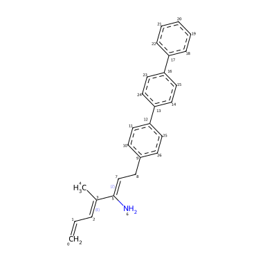 C=C/C=C(C)/C(N)=C/Cc1ccc(-c2ccc(-c3ccccc3)cc2)cc1